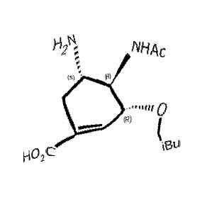 CCC(C)O[C@@H]1C=C(C(=O)O)C[C@H](N)[C@H]1NC(C)=O